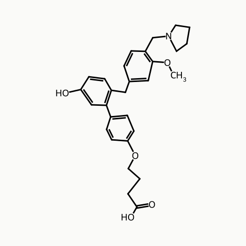 COc1cc(Cc2ccc(O)cc2-c2ccc(OCCCC(=O)O)cc2)ccc1CN1CCCC1